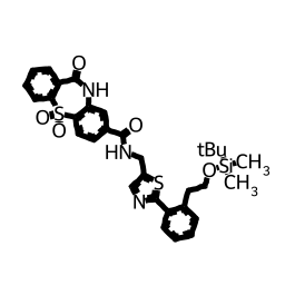 CC(C)(C)[Si](C)(C)OCCc1ccccc1-c1ncc(CNC(=O)c2ccc3c(c2)NC(=O)c2ccccc2S3(=O)=O)s1